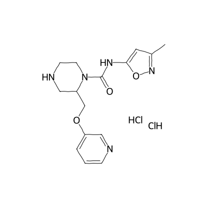 Cc1cc(NC(=O)N2CCNCC2COc2cccnc2)on1.Cl.Cl